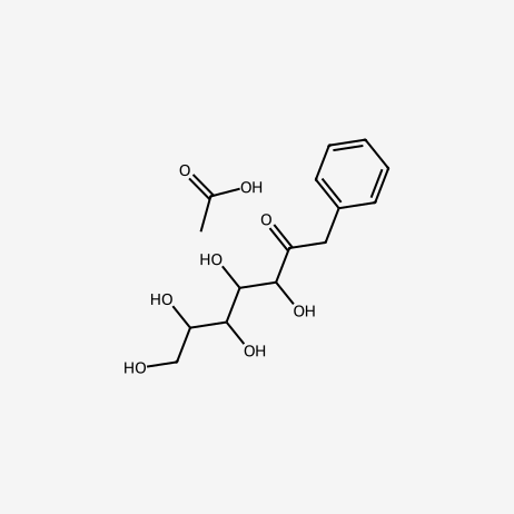 CC(=O)O.O=C(Cc1ccccc1)C(O)C(O)C(O)C(O)CO